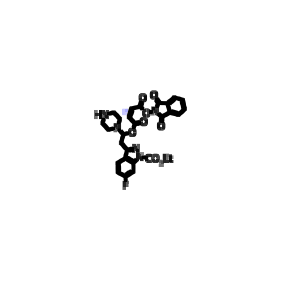 CCOC(=O)n1nc(CC(OC(=O)/C=C\C(=O)ON2C(=O)c3ccccc3C2=O)N2CCNCC2)c2ccc(F)cc21